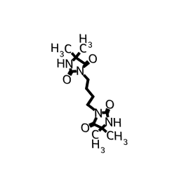 CC1(C)NC(=O)N(CCCCN2C(=O)NC(C)(C)C2=O)C1=O